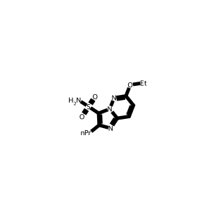 CCCc1nc2ccc(OCC)nn2c1S(N)(=O)=O